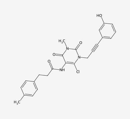 Cc1ccc(CCC(=O)Nc2c(Cl)n(CC#Cc3cccc(O)c3)c(=O)n(C)c2=O)cc1